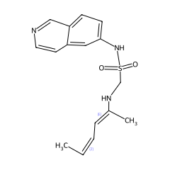 C/C=C\C=C(/C)NCS(=O)(=O)Nc1ccc2cnccc2c1